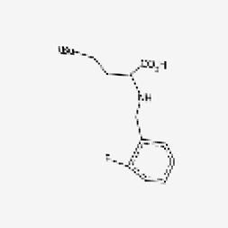 CC(C)(C)CCC(NCc1ccccc1F)C(=O)O